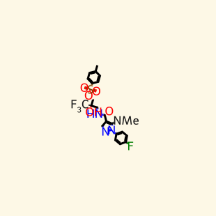 CNc1c(C(=O)NC[C@](O)(COS(=O)(=O)c2ccc(C)cc2)C(F)(F)F)cnn1-c1ccc(F)cc1